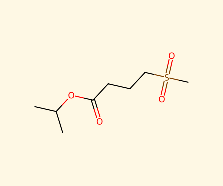 CC(C)OC(=O)CCCS(C)(=O)=O